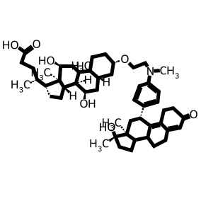 C[C@H](CCC(=O)O)[C@H]1CC[C@H]2[C@@H]3[C@H](O)C[C@@H]4C[C@@H](OCCN(C)c5ccc([C@H]6C[C@@]7(C)C(CC[C@]7(C)O)C7CCC8=CC(=O)CCC8=C76)cc5)CC[C@]4(C)[C@H]3C[C@H](O)[C@]12C